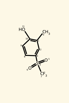 Cc1cc(S(=O)(=O)C(F)(F)F)ccc1O